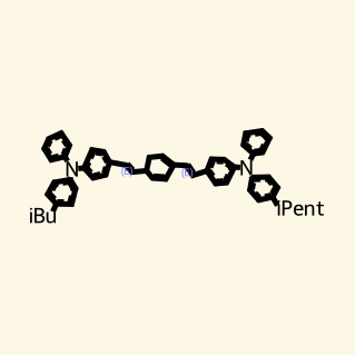 CCCC(C)c1ccc(N(c2ccccc2)c2ccc(/C=C/C3=CCC(/C=C/c4ccc(N(c5ccccc5)c5ccc(C(C)CC)cc5)cc4)C=C3)cc2)cc1